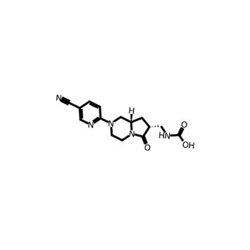 N#Cc1ccc(N2CCN3C(=O)[C@@H](CNC(=O)O)C[C@H]3C2)nc1